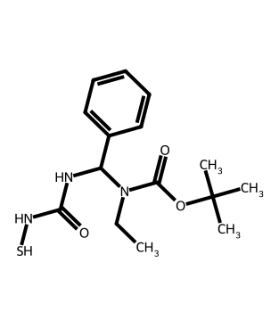 CCN(C(=O)OC(C)(C)C)C(NC(=O)NS)c1ccccc1